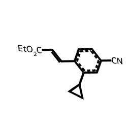 CCOC(=O)/C=C/c1ccc(C#N)cc1C1CC1